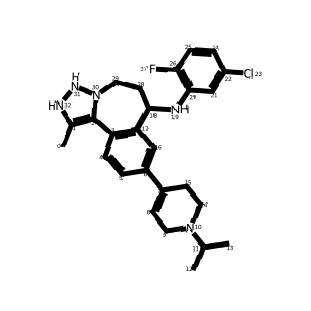 CC1=C2c3ccc(C4=CCN(C(C)C)CC4)cc3C(Nc3cc(Cl)ccc3F)CCN2NN1